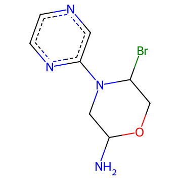 NC1CN(c2cnccn2)C(Br)CO1